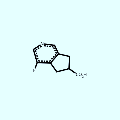 O=C(O)C1Cc2cncc(F)c2C1